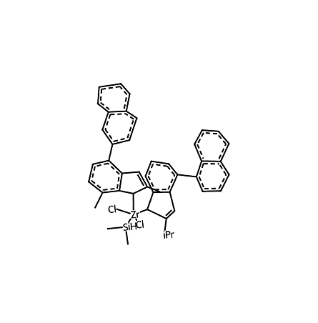 CC1=Cc2c(-c3ccc4ccccc4c3)ccc(C)c2[CH]1[Zr]([Cl])([Cl])([CH]1C(C(C)C)=Cc2c(-c3cccc4ccccc34)cccc21)[SiH](C)C